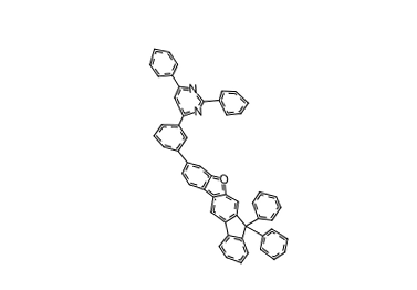 c1ccc(-c2cc(-c3cccc(-c4ccc5c(c4)oc4cc6c(cc45)-c4ccccc4C6(c4ccccc4)c4ccccc4)c3)nc(-c3ccccc3)n2)cc1